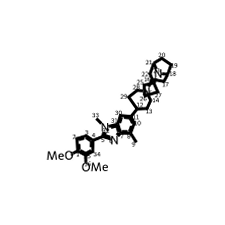 COc1ccc(-c2nc3c(C)cc(C4CCN(C5CC6CCC(C5)N6C5CCC5)CC4)cc3n2C)cc1OC